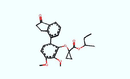 CCC(C)OC(=O)C1(Oc2c(-c3cccc4c3CCC4=O)ccc(OC)c2OC)CC1